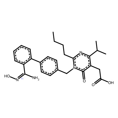 CCCCc1nc(C(C)C)c(CC(=O)O)c(=O)n1Cc1ccc(-c2ccccc2/C(N)=N\O)cc1